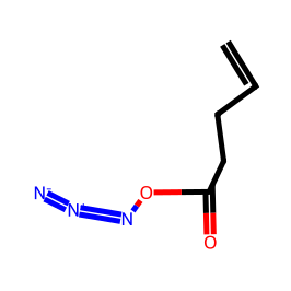 C=CCCC(=O)ON=[N+]=[N-]